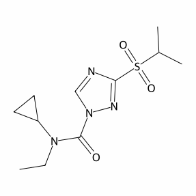 CCN(C(=O)n1cnc(S(=O)(=O)C(C)C)n1)C1CC1